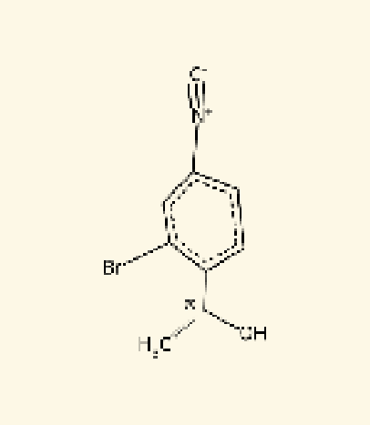 [C-]#[N+]c1ccc([C@@H](C)O)c(Br)c1